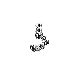 COc1nc(-c2ccnc(-c3cccc(NC(=O)c4cc(CNCCO)ccn4)c3C)c2C)ccc1CNC[C@H]1CCC(=O)N1